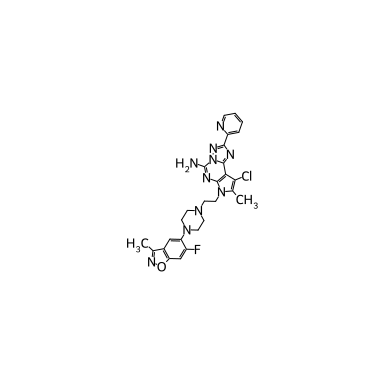 Cc1noc2cc(F)c(N3CCN(CCn4c(C)c(Cl)c5c4nc(N)n4nc(-c6ccccn6)nc54)CC3)cc12